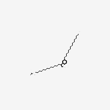 COCCCCCCCCCCCCCCc1ccc2[nH]cc(CCCCCCCCCCCCCNC(C)=O)c2c1